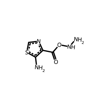 NNOC(=O)c1ncsc1N